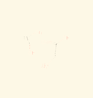 O=C(O)CO.[OH][Al][OH]